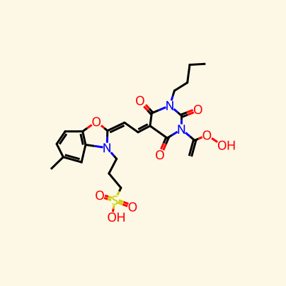 C=C(OO)N1C(=O)C(=CC=C2Oc3ccc(C)cc3N2CCCS(=O)(=O)O)C(=O)N(CCCC)C1=O